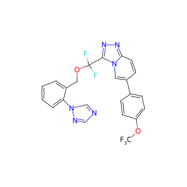 FC(F)(F)Oc1ccc(-c2ccc3nnc(C(F)(F)OCc4ccccc4-n4cncn4)n3c2)cc1